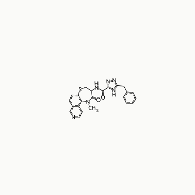 CN1C(=O)C(NC(=O)c2nnc(Cc3ccccc3)[nH]2)CSc2ccc3cnccc3c21